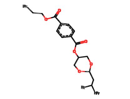 CCCC(CC)CC1OCC(OC(=O)c2ccc(C(=O)OCCC(C)C)cc2)CO1